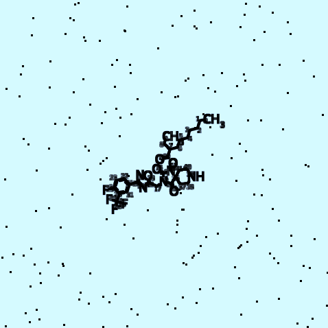 CCCCCCCC(CC)C(=O)ON1C(=O)N(Cc2nc(-c3ccc(F)c(C(F)(F)F)c3)no2)C(=O)C12CCNCC2